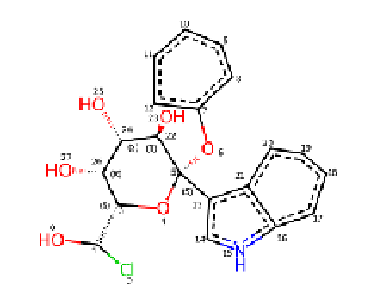 OC(Cl)[C@H]1O[C@](Oc2ccccc2)(c2c[nH]c3ccccc23)[C@H](O)[C@@H](O)[C@H]1O